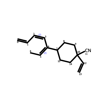 C=C/C=C\C(=C/C)C1CCC(C#N)(C=C)CC1